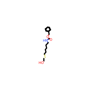 O=C(NCCCCCCSCCO)OCc1ccccc1